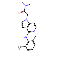 Cc1cccc(C(F)(F)F)c1Nc1nccc2c1ccn2CC(=O)N(C)C